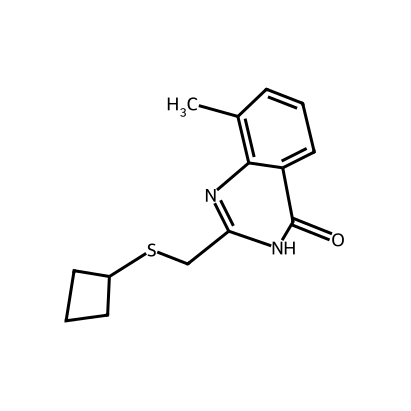 Cc1cccc2c(=O)[nH]c(CSC3CCC3)nc12